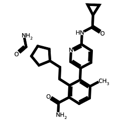 Cc1ccc(C(N)=O)c(CCC2CCCC2)c1-c1ccc(NC(=O)C2CC2)nc1.NC=O